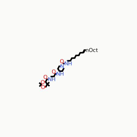 CCCCCCCC/C=C/CCCCCCCNC(=O)N1CCC(NC(=O)CCNC(=O)C2OC(C)(C)OCC2(C)C)CC1